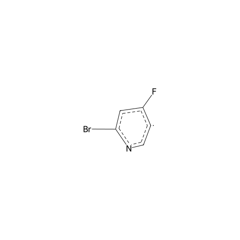 Fc1[c]cnc(Br)c1